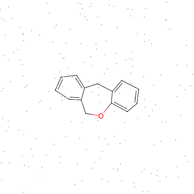 c1ccc2c(c1)COc1ccccc1C2